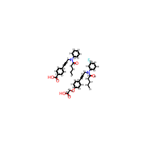 CCCCC(=O)N(CC#Cc1ccc(C(=O)O)cc1)c1ccccc1.CCCCC(=O)N(CC#Cc1ccc(OCC(=O)O)cc1)c1cccc(F)c1